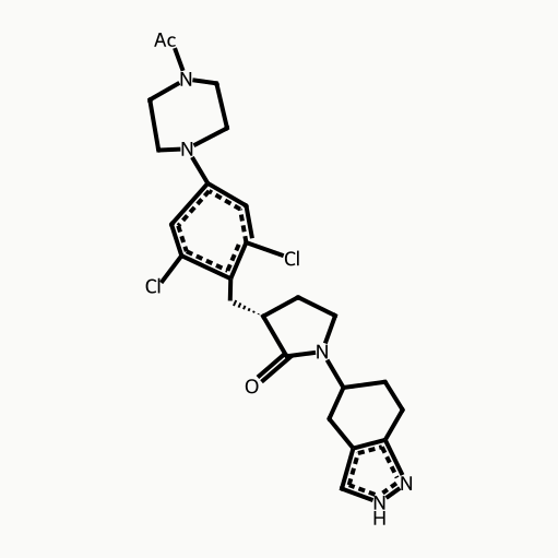 CC(=O)N1CCN(c2cc(Cl)c(C[C@@H]3CCN(C4CCc5n[nH]cc5C4)C3=O)c(Cl)c2)CC1